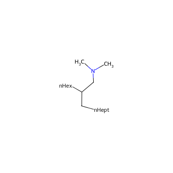 CCCCCCCCC(CCCCCC)CN(C)C